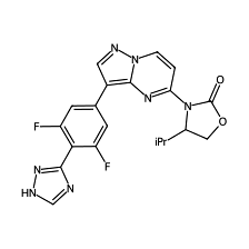 CC(C)C1COC(=O)N1c1ccn2ncc(-c3cc(F)c(-c4nc[nH]n4)c(F)c3)c2n1